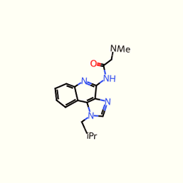 CNCC(=O)Nc1nc2ccccc2c2c1ncn2CC(C)C